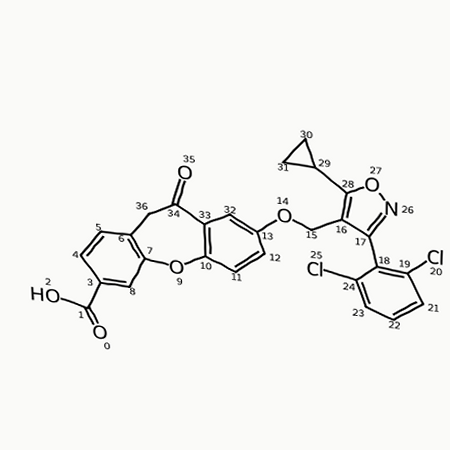 O=C(O)c1ccc2c(c1)Oc1ccc(OCc3c(-c4c(Cl)cccc4Cl)noc3C3CC3)cc1C(=O)C2